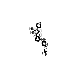 C[C@@]1(c2cccc(Nc3ccc(OCC(F)(F)F)nc3)c2Cl)CC(=O)N(C2CCOCC2)C(=N)N1